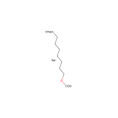 CCCCCCCCCCCCCCOC(=O)[O-].[Na+]